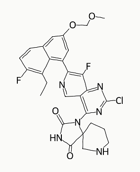 CCc1c(F)ccc2cc(OCOC)cc(-c3ncc4c(N5C(=O)NC(=O)C56CCCNC6)nc(Cl)nc4c3F)c12